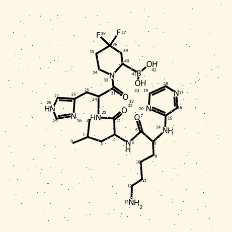 CC(C)CC(NC(=O)C(CCCCN)Nc1cnccn1)C(=O)NC(Cc1c[nH]cn1)C(=O)N1CCC(F)(F)CC1B(O)O